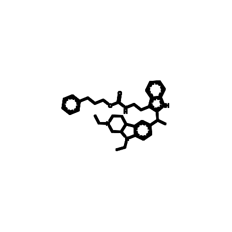 CCN1CCC2c3cc(C(C)c4[nH]c5ccccc5c4CCNC(=O)OCCCc4ccccc4)ccc3N(CC)C2C1